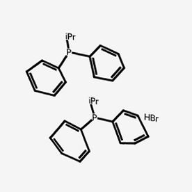 Br.CC(C)P(c1ccccc1)c1ccccc1.CC(C)P(c1ccccc1)c1ccccc1